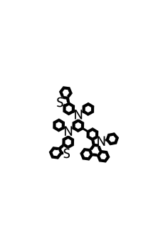 c1ccc(N(c2cc(-c3ccc4c(c3)c3c5ccccc5c5ccccc5c3n4-c3ccccc3)cc(N(c3ccccc3)c3ccc4sc5ccccc5c4c3)c2)c2ccc3sc4ccccc4c3c2)cc1